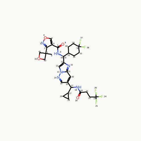 CC1(c2nocc2C(=O)N[C@H](c2cn3ncc(C(NC(=O)CCC(F)(F)F)C4CC4)cc3n2)C2CCC(F)(F)CC2)COC1